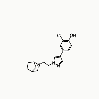 Oc1ccc(-c2cnn(CCN3CC4CCC3C4)c2)cc1Cl